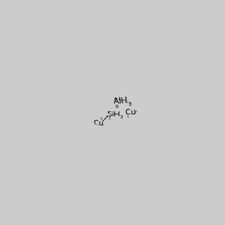 [AlH3].[Cu].[SiH3][Cu]